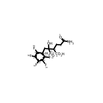 NC(=O)CCC(C(=O)O)C(O)(Cc1c(F)c(F)c(F)c(F)c1F)[PH2]=O